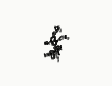 Cc1cc(-c2nnc(NCCC(C)(C)O)o2)nc2c(C(C)(C)C)cc(OCC(F)(F)F)cc12